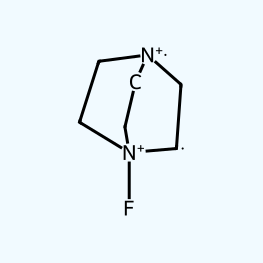 F[N+]12[CH]C[N+](CC1)CC2